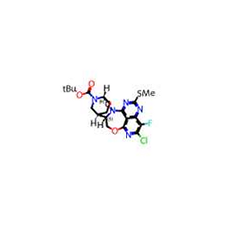 CSc1nc2c3c(nc(Cl)c(F)c3n1)OC[C@@H]1[C@@H]3CC[C@H](CN21)N(C(=O)OC(C)(C)C)C3